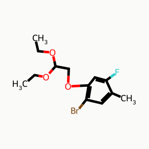 CCOC(COc1cc(F)c(C)cc1Br)OCC